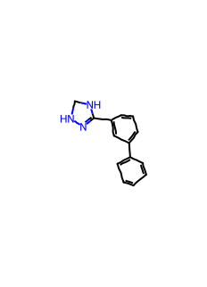 c1ccc(-c2cccc(C3=NNCN3)c2)cc1